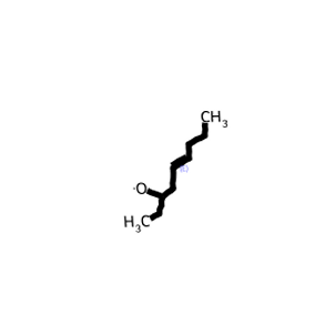 CCC/C=C/CC([O])CC